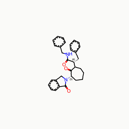 O=C(NCc1ccccc1)[C@H](Cc1ccccc1)C1CCCC[C@H](N2Cc3ccccc3C2=O)C1=O